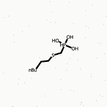 CCCCCCSC[PH](O)(O)O